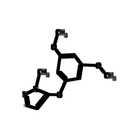 COc1cc(OC)cc(Oc2c[c]nn2C)c1